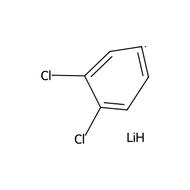 Clc1c[c]ccc1Cl.[LiH]